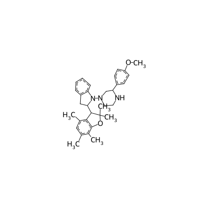 COc1ccc(C2CN(N3c4ccccc4CC3C3c4c(C)cc(C)c(C)c4OC3(C)C)CCN2)cc1